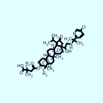 CC(C)C1=C2[C@H]3CC[C@@H]4[C@@]5(C)CC[C@H](OC(=O)CC(C)(C)C(=O)O)C(C)(C)[C@@H]5CC[C@@]4(C)[C@]3(C)CCC2(C(O)CNC(C)(C)c2ccc(Cl)cn2)CC1=O